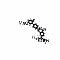 COc1ccc(F)c(-c2ccc([C@@H]3Cc4cc(C(C5CC5)[C@H](C)C(=O)O)ccc4C(=O)O3)cc2)c1